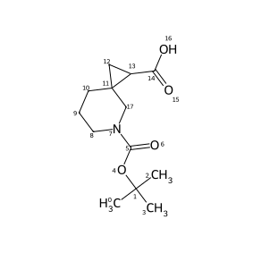 CC(C)(C)OC(=O)N1CCCC2(CC2C(=O)O)C1